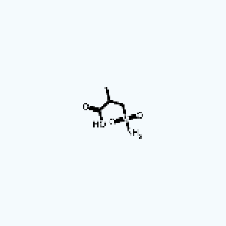 CC(CS(N)(=O)=O)C(=O)O